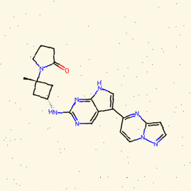 C[C@]1(N2CCCC2=O)C[C@@H](Nc2ncc3c(-c4ccn5nccc5n4)c[nH]c3n2)C1